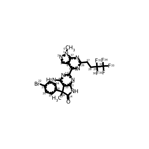 Cn1ncc2c(-c3nc(N)c4c(n3)NC(=O)C4(C)c3ccc(Br)cc3)nc(CCC(F)(F)C(F)(F)F)nc21